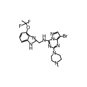 CN1CCN(c2nc(NCc3nc4c(OC(C)(F)F)cccc4[nH]3)n3ncc(Br)c3n2)CC1